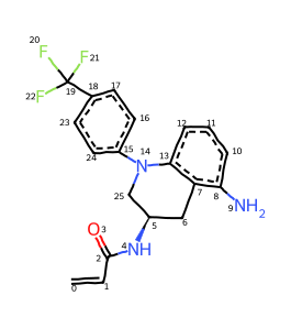 C=CC(=O)N[C@@H]1Cc2c(N)cccc2N(c2ccc(C(F)(F)F)cc2)C1